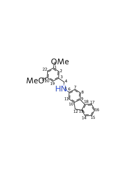 COc1cc(CNc2ccc3c(c2)Cc2ccccc2-3)cc(OC)c1